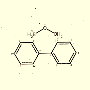 BOB.c1ccc(-c2ccccc2)cc1